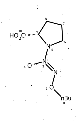 CCCCON=[N+]([O-])N1CCC[C@H]1C(=O)O